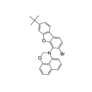 CC(C)(C)c1ccc2c(c1)oc1c(N3COc4cccc5cccc3c45)c(Br)ccc12